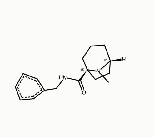 CN1[C@@H]2CCC[C@@]1(C(=O)NCc1ccccc1)CC2